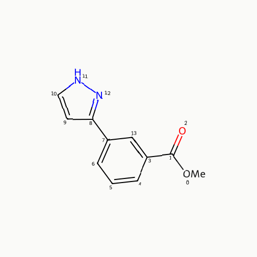 COC(=O)c1cccc(-c2cc[nH]n2)c1